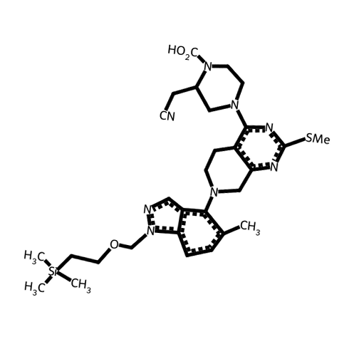 CSc1nc2c(c(N3CCN(C(=O)O)C(CC#N)C3)n1)CCN(c1c(C)ccc3c1cnn3COCC[Si](C)(C)C)C2